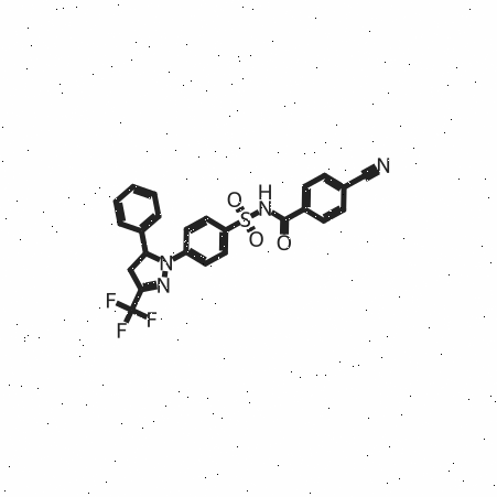 N#Cc1ccc(C(=O)NS(=O)(=O)c2ccc(N3N=C(C(F)(F)F)CC3c3ccccc3)cc2)cc1